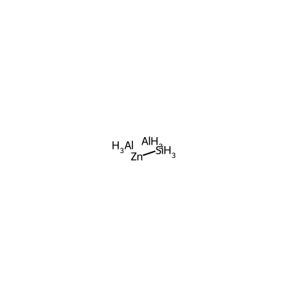 [AlH3].[AlH3].[SiH3][Zn]